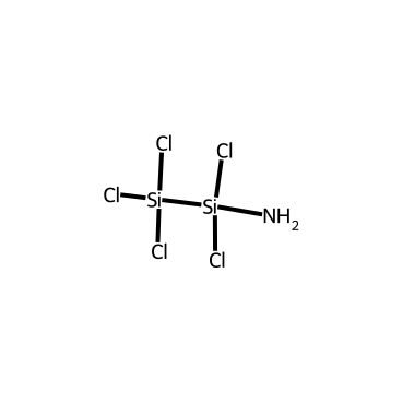 N[Si](Cl)(Cl)[Si](Cl)(Cl)Cl